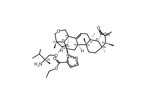 CCOC(=O)c1ccnn1[C@@H]1C[C@@]23COC[C@](C)([C@@H]2CC[C@H]2C3=CC[C@@]3(C)[C@H](C(=O)O)[C@@](C)([C@H](C)C(C)C)CC[C@]23C)[C@H]1OC[C@](C)(N)C(C)C